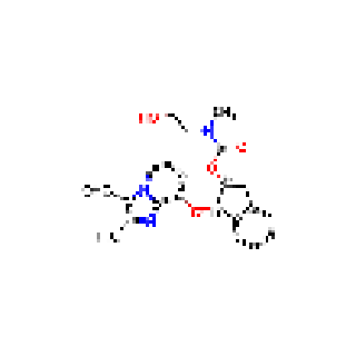 Cc1nc2c(O[C@@H]3c4ccccc4C[C@H]3OC(=O)N(C)CCO)cccn2c1C=O